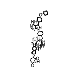 [2H]C1([2H])N(CC2CCC(n3nc(-c4ccc(Oc5ccccc5)cc4)c4c(N)ncnc43)CC2)C([2H])([2H])C([2H])([2H])N(c2ccc3cn(C4CCC(=O)NC4=O)cc3c2F)C1([2H])[2H]